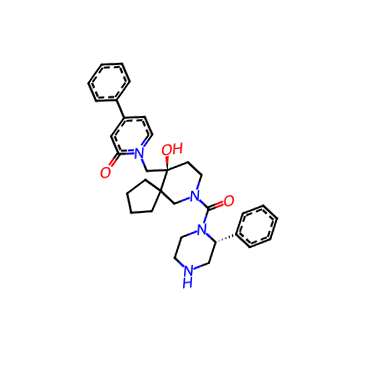 O=C(N1CC[C@@](O)(Cn2ccc(-c3ccccc3)cc2=O)C2(CCCC2)C1)N1CCNC[C@H]1c1ccccc1